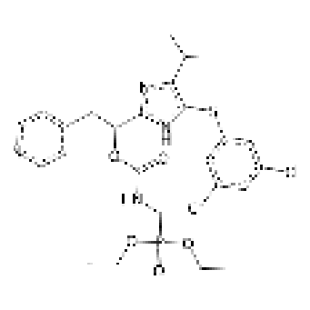 CCOP(=O)(CNC(=O)OC(Cc1ccncc1)c1nc(C(C)C)c(Sc2cc(Cl)cc(Cl)c2)[nH]1)OCC